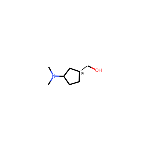 CN(C)C1CC[C@@H](CO)C1